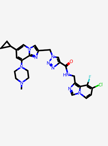 CN1CCN(c2cc(C3CC3)cn3cc(Cn4cc(C(=O)NCc5ncn6ccc(Cl)c(F)c56)nn4)nc23)CC1